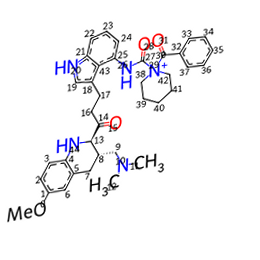 COc1ccc2c(c1)C[C@@H](CN(C)C)[C@H](C(=O)CCc1c[nH]c3cccc(NC(=O)[N+]4(C(=O)c5ccccc5)CCCCC4)c13)N2